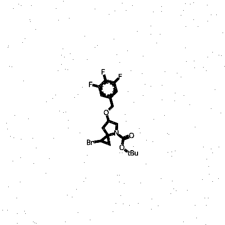 CC(C)(C)OC(=O)N1CC(OCc2cc(F)c(F)c(F)c2)CC12CC2Br